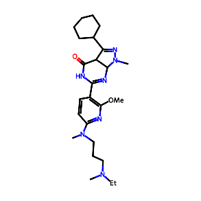 CCN(C)CCCN(C)c1ccc(C2=NC3C(C(=O)N2)C(C2CCCCC2)=NN3C)c(OC)n1